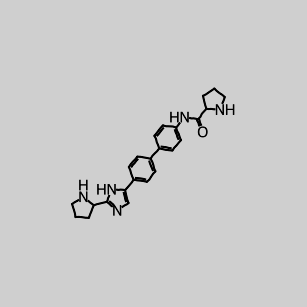 O=C(Nc1ccc(-c2ccc(-c3cnc(C4CCCN4)[nH]3)cc2)cc1)C1CCCN1